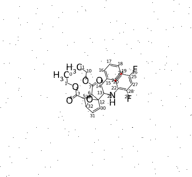 CCOC(=O)C1=C(C(=O)OCC)C2(C(Cc3ccccc3)Nc3ccc(F)cc3F)C=CC1O2